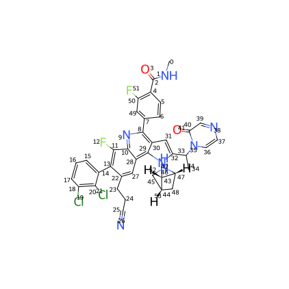 CNC(=O)c1ccc(-c2nc3c(F)c(-c4cccc(Cl)c4Cl)c(CCC#N)cc3c3c2cc(C(C)n2ccncc2=O)n3[C@H]2[C@H]3CN[C@@H]2C3)cc1F